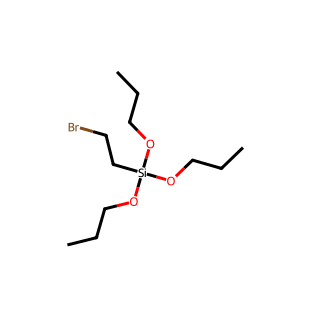 CCCO[Si](CCBr)(OCCC)OCCC